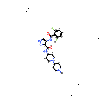 CN1CCC(N2CCC(NC(=O)c3n[nH]cc3NC(=O)c3c(F)cccc3F)CC2)CC1